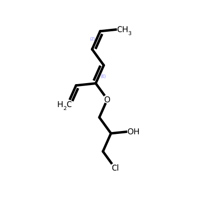 C=C/C(=C\C=C/C)OCC(O)CCl